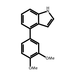 COc1ccc(-c2cccc3[nH]ccc23)cc1OC